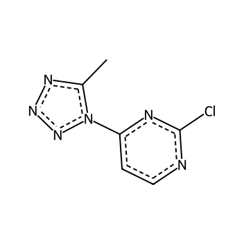 Cc1nnnn1-c1ccnc(Cl)n1